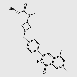 Cc1cc(F)cc2c(=O)[nH]c(-c3ccc(CN4CC(N(C)C(=O)OC(C)(C)C)C4)cc3)cc12